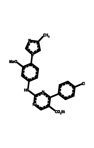 CCOC(=O)c1cnc(Nc2ccc(-n3cnc(C)c3)c(OC)c2)nc1-c1ccc(Cl)cc1